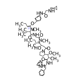 CC/C=C(\OCc1ccc(NC(=O)CNC=C2CC2)cc1)N(C)C(C(=O)NCC(=O)N(C)[C@@H](C(C)CC)C(O)CC(=O)N1CCCC1C(OC)C(C)C(=O)NC(Cc1ccccc1)c1ncc[nH]1)C(C)C